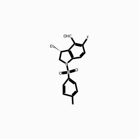 CC[C@H]1CN(S(=O)(=O)c2ccc(C)cc2)c2ccc(F)c(C=O)c21